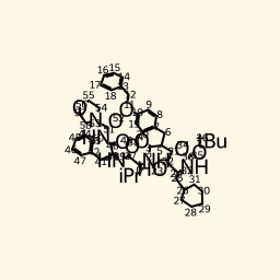 CC(C)C(NC(=O)C(Cc1ccc(OCc2ccccc2)cc1)CC(O)C(CC1CCCCC1)NC(=O)OC(C)(C)C)C(=O)NC(Cc1ccccc1)C(=O)NC(=O)N1CCOCC1